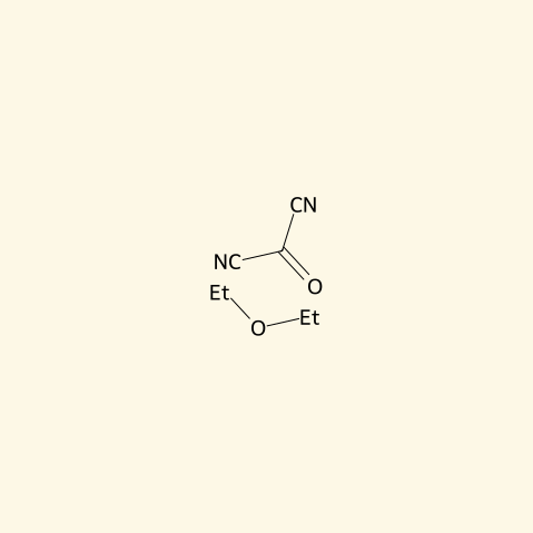 CCOCC.N#CC(=O)C#N